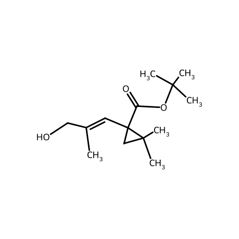 CC(=CC1(C(=O)OC(C)(C)C)CC1(C)C)CO